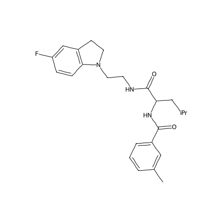 Cc1cccc(C(=O)NC(CC(C)C)C(=O)NCCN2CCc3cc(F)ccc32)c1